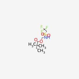 CCC(C)(C)C(=O)OCNS(=O)(=O)CC(F)(F)F